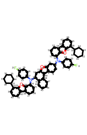 Fc1ccc(N(c2ccc3c(c2)oc2cc(N(c4ccc(F)cc4)c4cccc5c4oc4c(C6CCCCC6)cccc45)c4ccccc4c23)c2cccc3c2oc2c(C4CCCCC4)cccc23)cc1